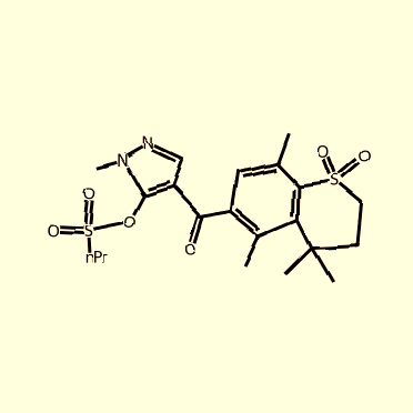 CCCS(=O)(=O)Oc1c(C(=O)c2cc(C)c3c(c2C)C(C)(C)CCS3(=O)=O)cnn1C